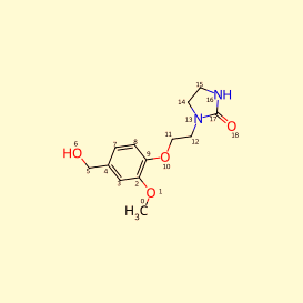 COc1cc(CO)ccc1OCCN1CCNC1=O